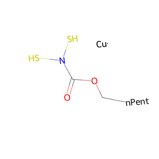 CCCCCCOC(=O)N(S)S.[Cu]